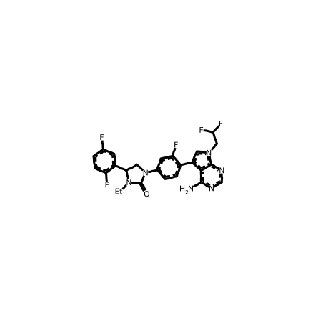 CCN1C(=O)N(c2ccc(-c3cn(CC(F)F)c4ncnc(N)c34)c(F)c2)CC1c1cc(F)ccc1F